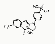 Cc1ccc2c(c1)C(=O)[C@]1(O)CCN(c3ccc(P(=O)(O)O)cc3)C1=N2